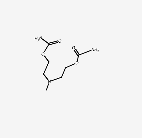 CN(CCOC(N)=O)CCOC(N)=O